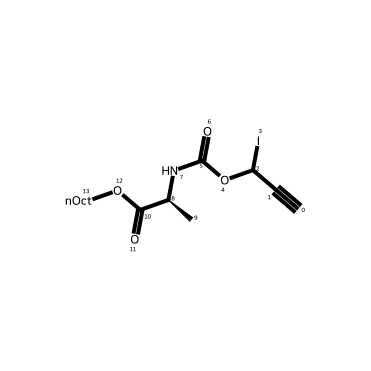 C#CC(I)OC(=O)N[C@@H](C)C(=O)OCCCCCCCC